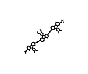 CCCCC1(CCCC)c2cc(C#Cc3ccc4c(c3)C(CCC)(CCC)c3cc(C#N)ccc3-4)ccc2-c2ccc(C#Cc3ccc4c(c3)C(CCC)(CCC)c3cc(C#N)ccc3-4)cc21